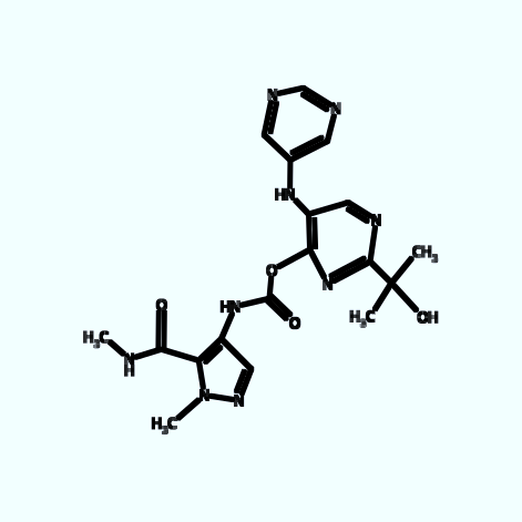 CNC(=O)c1c(NC(=O)Oc2nc(C(C)(C)O)ncc2Nc2cncnc2)cnn1C